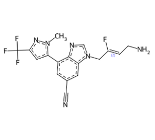 Cn1nc(C(F)(F)F)cc1-c1cc(C#N)cc2c1ncn2C/C(F)=C/CN